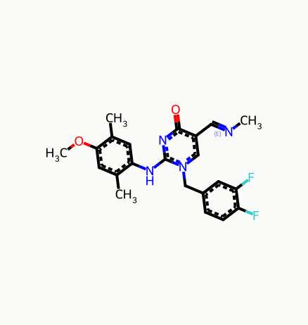 C/N=C/c1cn(Cc2ccc(F)c(F)c2)c(Nc2cc(C)c(OC)cc2C)nc1=O